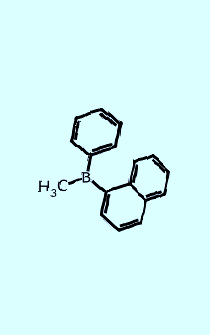 CB(c1ccccc1)c1cccc2ccccc12